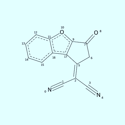 N#CC(C#N)=C1CC(=O)c2oc3ccccc3c21